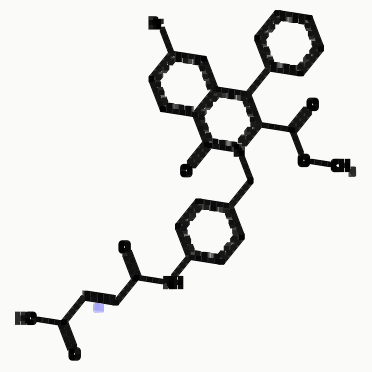 COC(=O)c1c(-c2ccccc2)c2cc(Br)ccc2c(=O)n1Cc1ccc(NC(=O)/C=C/C(=O)O)cc1